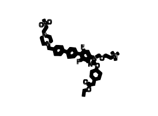 CCOC(=O)CC1CCC(Oc2nc3c(F)c(-c4ccc(-c5ccc(CN6CCN(CCS(C)(=O)=O)CC6)cc5)cc4)c(F)cc3n2COCC[Si](C)(C)C)CC1